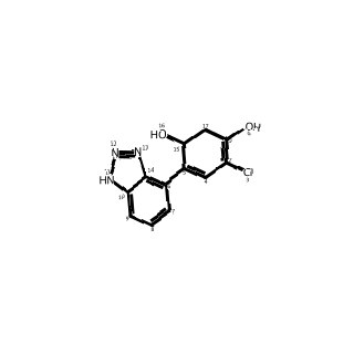 OC1=C(Cl)C=C(c2cccc3[nH]nnc23)C(O)C1